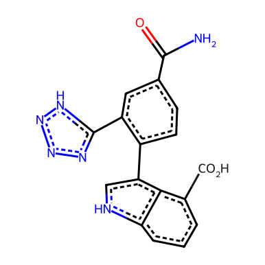 NC(=O)c1ccc(-c2c[nH]c3cccc(C(=O)O)c23)c(-c2nnn[nH]2)c1